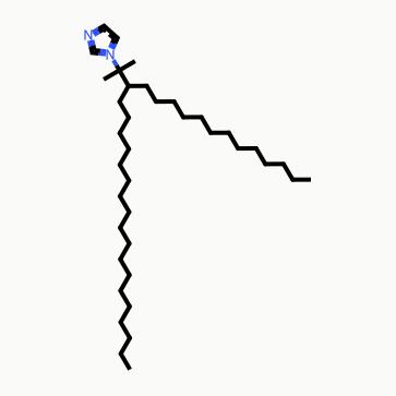 CCCCCCCCCCCCCCCCCCC(CCCCCCCCCCCCC)C(C)(C)n1ccnc1